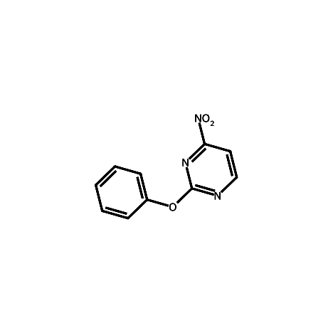 O=[N+]([O-])c1ccnc(Oc2ccccc2)n1